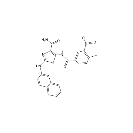 Cc1ccc(C(=O)Nc2sc(Nc3ccc4ccccc4c3)nc2C(N)=O)cc1[N+](=O)[O-]